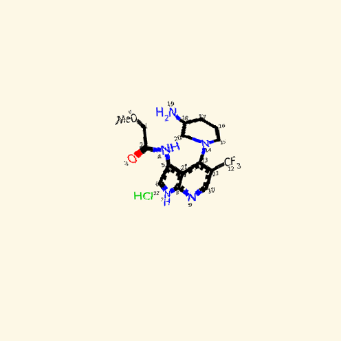 COCC(=O)Nc1c[nH]c2ncc(C(F)(F)F)c(N3CCCC(N)C3)c12.Cl